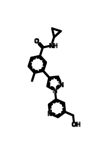 Cc1ccc(C(=O)NC2CC2)cc1-c1cnn(-c2cncc(CO)c2)c1